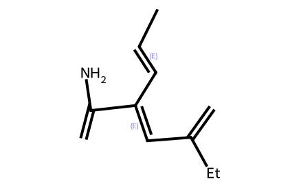 C=C(/C=C(\C=C\C)C(=C)N)CC